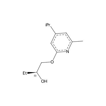 CC[C@H](O)COc1cc(C(C)C)cc(C)n1